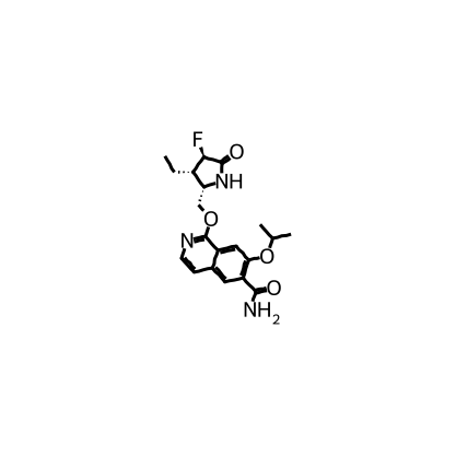 CC[C@H]1[C@@H](COc2nccc3cc(C(N)=O)c(OC(C)C)cc23)NC(=O)[C@@H]1F